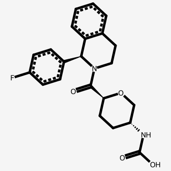 O=C(O)N[C@@H]1CC[C@@H](C(=O)N2CCc3ccccc3[C@@H]2c2ccc(F)cc2)OC1